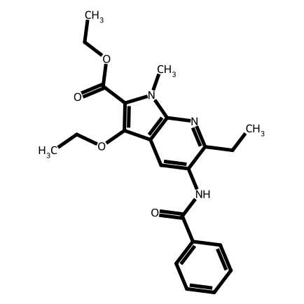 CCOC(=O)c1c(OCC)c2cc(NC(=O)c3ccccc3)c(CC)nc2n1C